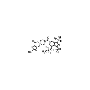 [2H]C([2H])(C)Oc1cc(C(=O)N2CCC3(CC2)CC(=O)c2nc(C(C)(C)C)sc2C3)cc2c(C([2H])([2H])[2H])nn(C([2H])([2H])[2H])c12